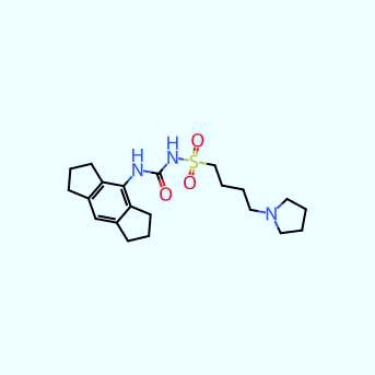 O=C(Nc1c2c(cc3c1CCC3)CCC2)NS(=O)(=O)CCCCN1CCCC1